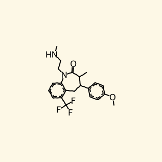 CNCCN1C(=O)C(C)C(c2ccc(OC)cc2)Cc2c1cccc2C(F)(F)F